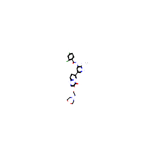 COc1ncc(-c2ccc3ncc(OCCN4CCOCC4)c(=O)n3c2)cc1NC(=O)c1ccc(F)cc1Cl